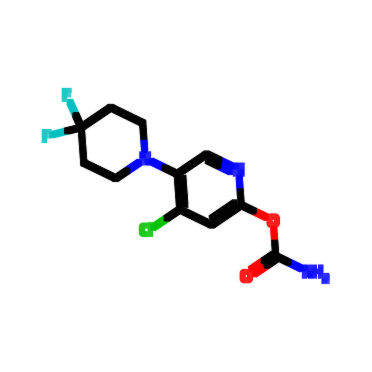 NC(=O)Oc1cc(Cl)c(N2CCC(F)(F)CC2)cn1